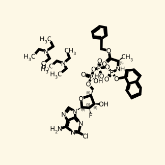 CCN(CC)CC.CCN(CC)CC.C[C@H](NP(=O)(Oc1cccc2ccccc12)OP(=O)(O)OP(=O)(O)OC[C@H]1O[C@@H](n2cnc3c(N)nc(Cl)nc32)[C@@H](F)[C@@H]1O)C(=O)OCc1ccccc1